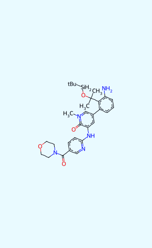 Cn1cc(-c2cccc(N)c2C(C)(C)O[SiH2]C(C)(C)C)cc(Nc2ccc(C(=O)N3CCOCC3)cn2)c1=O